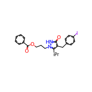 CC(C)c1c(Cc2ccc(I)cc2)c(=O)[nH]n1CCCOC(=O)c1ccccc1